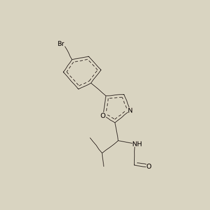 CC(C)C(NC=O)c1ncc(-c2ccc(Br)cc2)o1